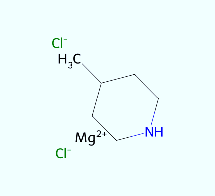 CC1CCNCC1.[Cl-].[Cl-].[Mg+2]